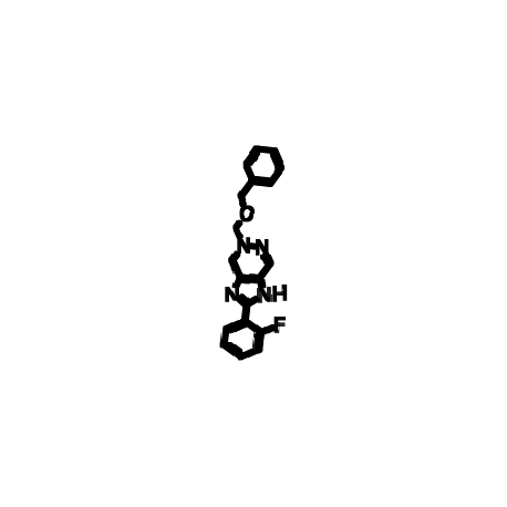 Fc1ccccc1-c1nc2c([nH]1)C=NN(COCc1ccccc1)C2